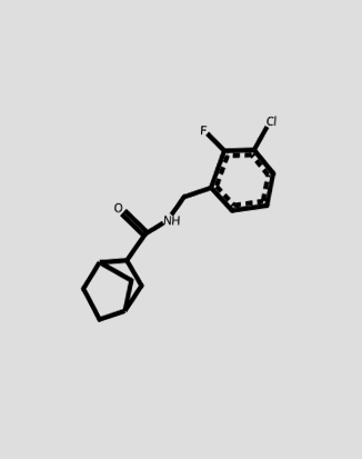 O=C(NCc1cccc(Cl)c1F)C1CC2CCC1C2